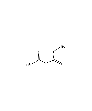 CCCC(=O)CC(=O)OC(C)CC